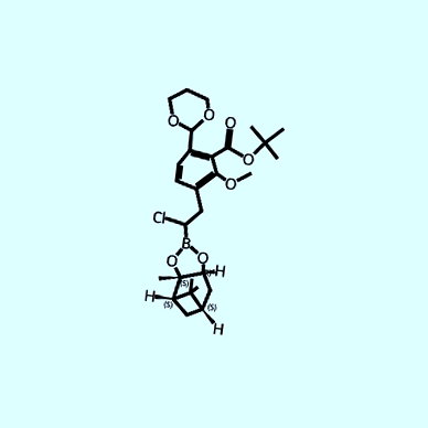 COc1c(CC(Cl)B2O[C@@H]3C[C@@H]4C[C@@H](C4(C)C)[C@]3(C)O2)ccc(C2OCCCO2)c1C(=O)OC(C)(C)C